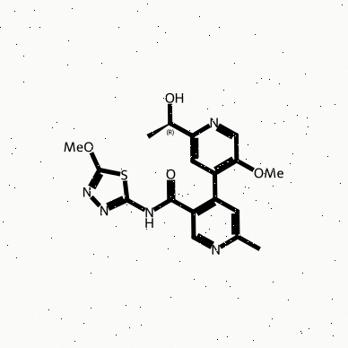 COc1nnc(NC(=O)c2cnc(C)cc2-c2cc([C@@H](C)O)ncc2OC)s1